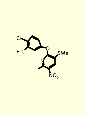 CSc1cc([N+](=O)[O-])c(C)nc1Oc1ccc(Cl)c(C(F)(F)F)c1